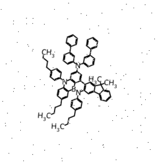 CCCCc1ccc(N2B3c4cc(CCCC)ccc4N(c4ccc(CCCC)cc4)c4cc(N(c5cccc(-c6ccccc6)c5)c5cccc(-c6ccccc6)c5)cc(c43)-c3cc4c(cc32)-c2ccccc2C4(C)C)cc1